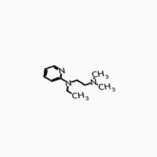 CCN(CCN(C)C)c1ccccn1